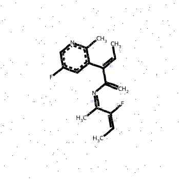 C=C(/N=C(C)\C(F)=C/C)/C(=C/C)c1cc(F)cnc1C